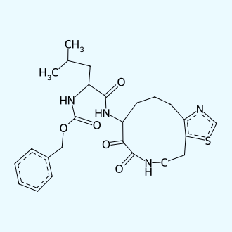 CC(C)CC(NC(=O)OCc1ccccc1)C(=O)NC1CCCc2ncsc2CCNC(=O)C1=O